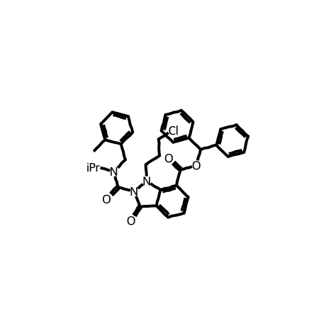 Cc1ccccc1CN(C(=O)n1c(=O)c2cccc(C(=O)OC(c3ccccc3)c3ccccc3)c2n1CCCCl)C(C)C